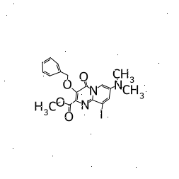 COC(=O)c1nc2c(I)cc(N(C)C)cn2c(=O)c1OCc1ccccc1